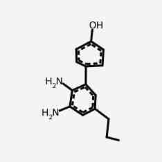 CCCc1cc(N)c(N)c(-c2ccc(O)cc2)c1